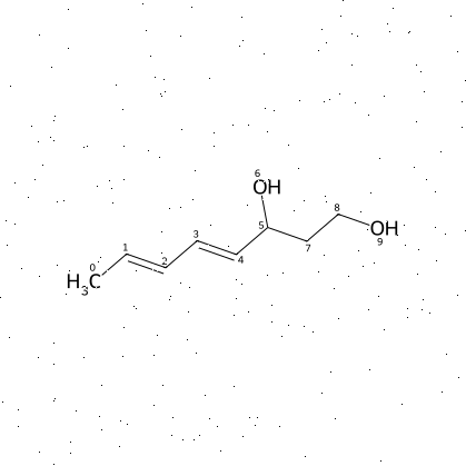 C/C=C/C=C/C(O)CCO